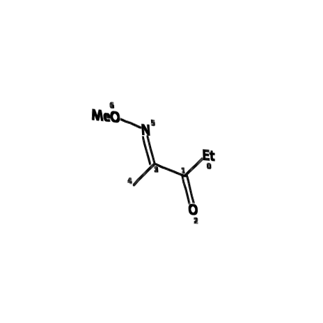 CCC(=O)C(C)=NOC